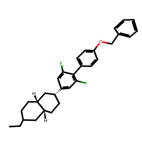 CCC1CC[C@@H]2C[C@H](c3cc(F)c(-c4ccc(OCc5ccccc5)cc4)c(F)c3)CC[C@@H]2C1